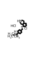 CC(C)(C)NC(=S)c1ccc(CSc2c(Cl)ccc3c2CCNCC3)cc1.Cl